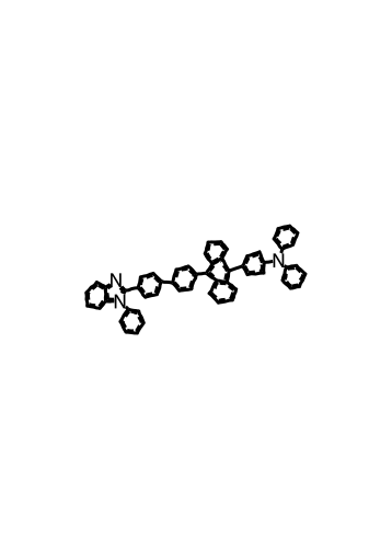 c1ccc(N(c2ccccc2)c2ccc(-c3c4ccccc4c(-c4ccc(-c5ccc(-c6nc7ccccc7n6-c6ccccc6)cc5)cc4)c4ccccc34)cc2)cc1